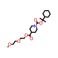 COCCOCCOC(=O)C1CCN(C(=O)OC(C)(C)C2CCCCC2)CC1